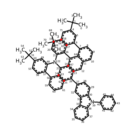 CC(C)(C)c1cc(-c2cccc3cccc(-c4ccccc4N(c4ccc(-c5ccc6c(c5)c5ccccc5n6-c5ccccc5)cc4)c4cc(C(C)(C)C)ccc4-c4ccccc4)c23)cc(C(C)(C)C)c1